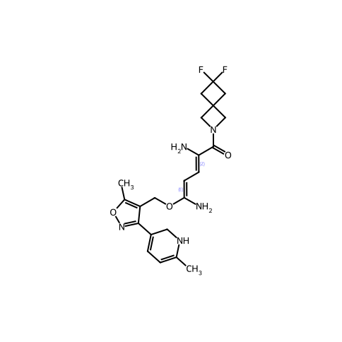 CC1=CC=C(c2noc(C)c2CO/C(N)=C/C=C(\N)C(=O)N2CC3(C2)CC(F)(F)C3)CN1